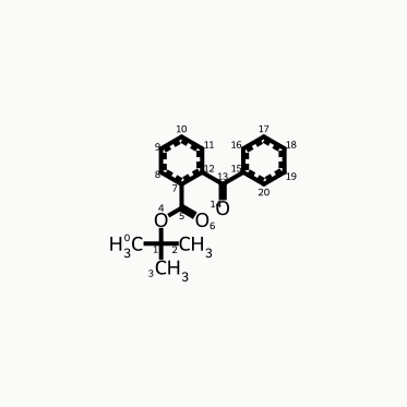 CC(C)(C)OC(=O)c1ccccc1C(=O)c1ccccc1